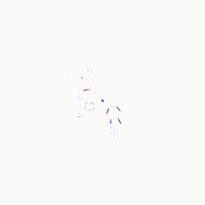 CN(C(=O)OC(C)(C)C)C1CC(Oc2c(C#N)ccc3c[nH]nc23)C1.[H-].[Na+]